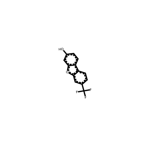 Oc1ccc2c(c1)oc1cc(C(F)(F)F)ccc12